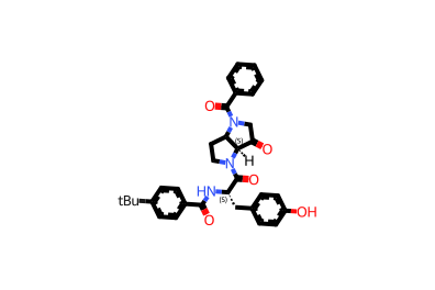 CC(C)(C)c1ccc(C(=O)N[C@@H](Cc2ccc(O)cc2)C(=O)N2CCC3[C@H]2C(=O)CN3C(=O)c2ccccc2)cc1